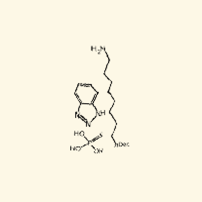 CCCCCCCCCCCCCCCCCCN.OP(O)(O)=S.c1ccc2[nH]nnc2c1